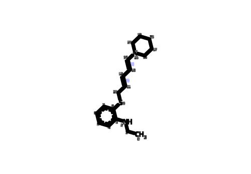 CCNc1ccccc1SC/C=C/C=C/N1CCCCC1